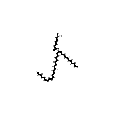 C=C(CC/C=C/CNC)OC(CCCCCCCCCCC)CCCCCCCCCCC/C=C\C/C=C\CCCCC